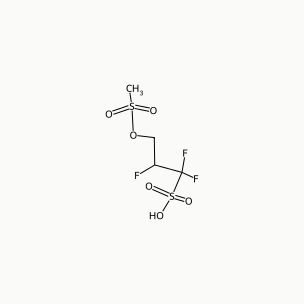 CS(=O)(=O)OCC(F)C(F)(F)S(=O)(=O)O